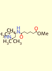 COC(=O)CCCCC(=O)NC1CC(C)(C)NC(C)(C)C1